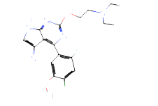 CCN(CC)CCOc1nc(-c2cc(OC)c(Cl)cc2Cl)c2c(N)c[nH]c2n1